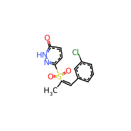 CC(=Cc1cccc(Cl)c1)S(=O)(=O)c1ccc(=O)[nH]n1